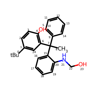 CC(C)(C)c1ccc(O)c(C(C)(c2ccccc2)c2ccccc2NCO)c1